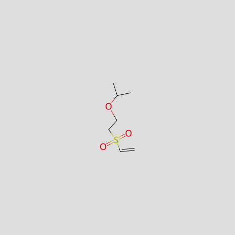 C=CS(=O)(=O)CCOC(C)C